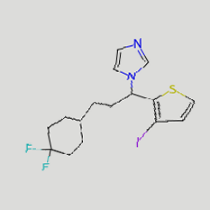 FC1(F)CCC(CCC(c2sccc2I)n2ccnc2)CC1